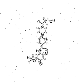 CC(C)(CO)C(=O)N1CCN(c2ccc(C(=O)Nc3cc(OC(F)(F)F)c(Br)cc3Cl)cn2)CC1